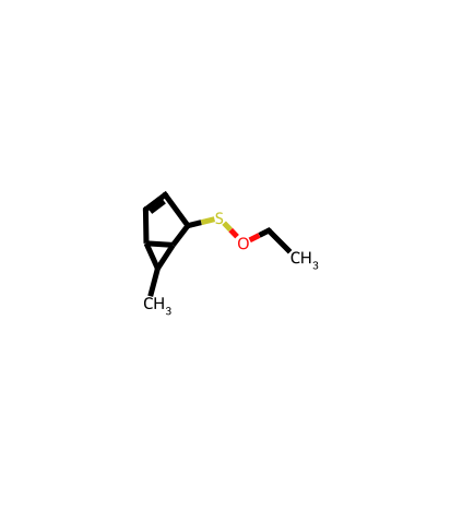 CCOSC1C=CC2C(C)C12